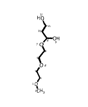 COCCOCCOC(O)CCO